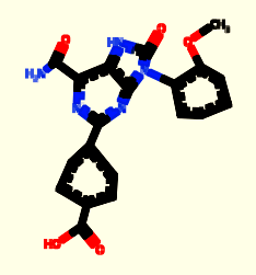 COc1ccccc1-n1c(=O)[nH]c2c(C(N)=O)nc(-c3ccc(C(=O)O)cc3)nc21